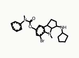 CN(C(=O)Oc1cc(Br)c2c(c1)C1CCC(NC3CCCC3)C1N2C)c1ccccc1